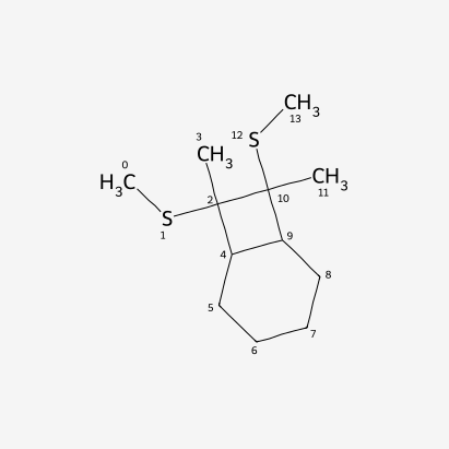 CSC1(C)C2CCCCC2C1(C)SC